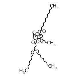 CCCCCCCCCCCC(=O)OCC1N(C)CCC1(OC(=O)CCC(OCCCCCCCC)OCCCCCCCC)C(=O)OCCC